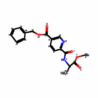 CCC(C)OC(=O)C(NC(=O)c1ccc(C(=O)OCc2ccccc2)cn1)C(=O)O